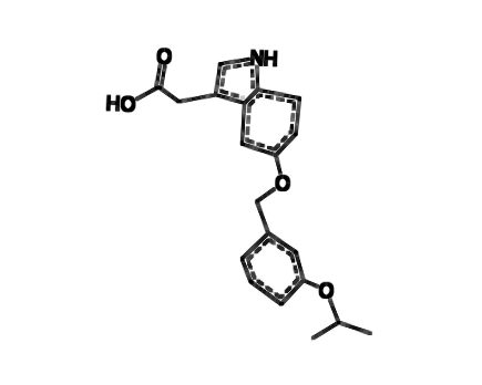 CC(C)Oc1cccc(COc2ccc3[nH]cc(CC(=O)O)c3c2)c1